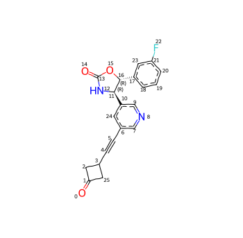 O=C1CC(C#Cc2cncc([C@H]3NC(=O)O[C@@H]3c3cccc(F)c3)c2)C1